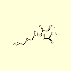 C=CC(=O)O.CC(=O)O.CCOCC